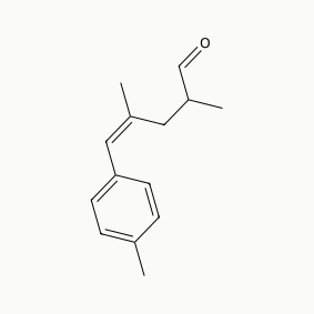 CC(=Cc1ccc(C)cc1)CC(C)C=O